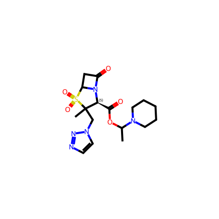 CC(OC(=O)[C@@H]1N2C(=O)CC2S(=O)(=O)C1(C)Cn1ccnn1)N1CCCCC1